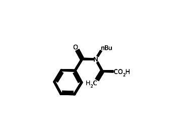 C=C(C(=O)O)N(CCCC)C(=O)c1ccccc1